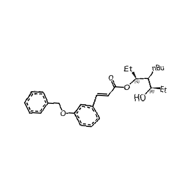 CCCCC([C@H](O)CC)[C@H](CC)OC(=O)C=Cc1cccc(OCc2ccccc2)c1